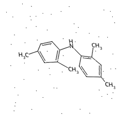 Cc1ccc(Nc2ccc(C)cc2C)c(C)c1